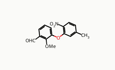 COc1c(C=O)cccc1Oc1cc(C)ccc1[N+](=O)[O-]